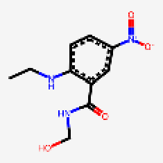 CCNc1ccc([N+](=O)[O-])cc1C(=O)NCO